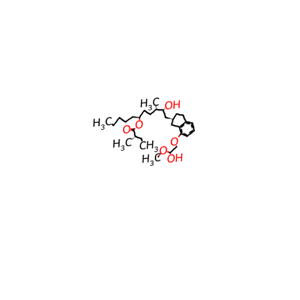 CCCCC[C@@H](CC[C@H](C)[C@H](O)C[C@H]1CCc2cccc(OCC(O)OC)c2C1)OC(=O)[C@@H](C)CC